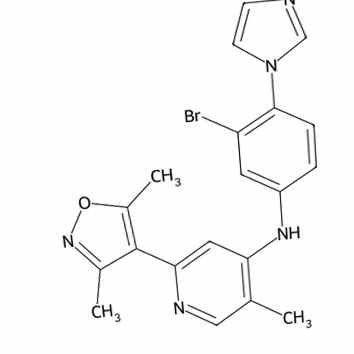 Cc1cnc(-c2c(C)noc2C)cc1Nc1ccc(-n2ccnc2)c(Br)c1